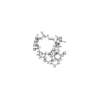 CNC[C@]1(OC)/C=C/C[C@H](C)[C@@H](C)S(=O)(=O)NC(=O)c2ccc3c(c2)N(C[C@@H]2CC[C@H]21)C[C@@]1(CCCc2cc(Cl)ccc21)CO3